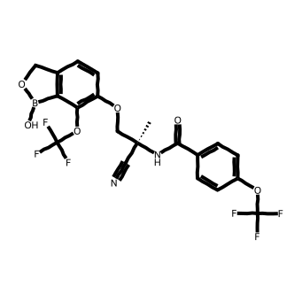 C[C@](C#N)(COc1ccc2c(c1OC(F)(F)F)B(O)OC2)NC(=O)c1ccc(OC(F)(F)F)cc1